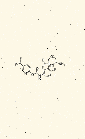 NC1=N[C@@](c2cc(NC(=O)Oc3ccc(C(F)F)cn3)ccc2F)(C(F)F)COC1